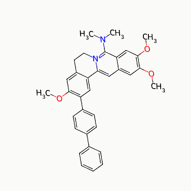 COc1cc2cc3[n+](c(N(C)C)c2cc1OC)CCc1cc(OC)c(-c2ccc(-c4ccccc4)cc2)cc1-3